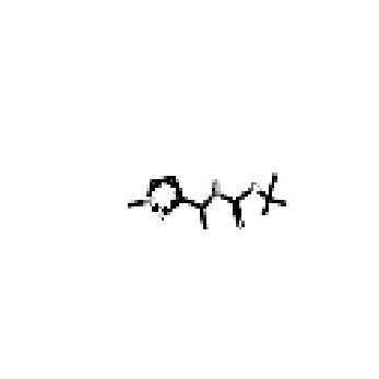 CC(NC(=O)OC(C)(C)C)c1ccn(C)n1